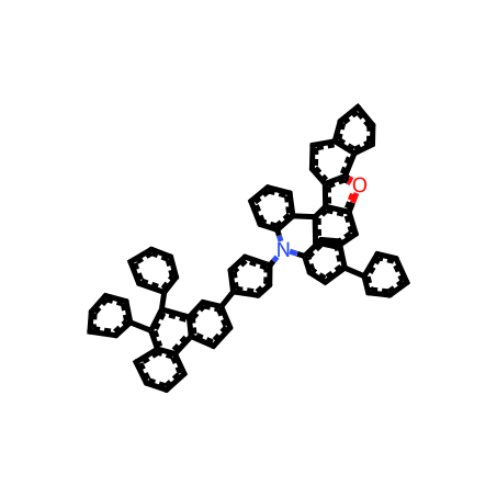 c1ccc(-c2ccc(N(c3ccc(-c4ccc5c(c4)c(-c4ccccc4)c(-c4ccccc4)c4ccccc45)cc3)c3ccccc3-c3cccc4oc5c6ccccc6ccc5c34)cc2)cc1